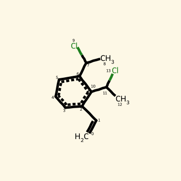 C=Cc1cccc(C(C)Cl)c1C(C)Cl